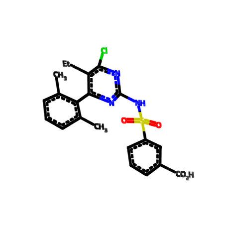 CCc1c(Cl)nc(NS(=O)(=O)c2cccc(C(=O)O)c2)nc1-c1c(C)cccc1C